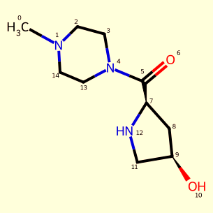 CN1CCN(C(=O)[C@H]2C[C@@H](O)CN2)CC1